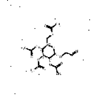 CC(=O)OC[C@H]1O[C@H](OCC=O)[C@H](OC(C)=O)[C@@H](OC(C)=O)[C@@H]1OC(C)=O